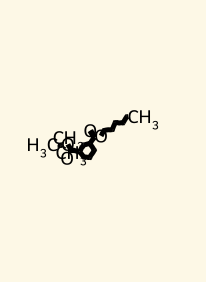 CCCCCCOC(=O)C1CCCC(C(=O)OC(C)(C)C)C1